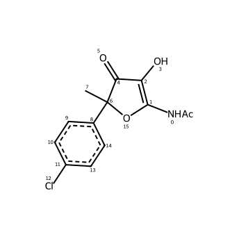 CC(=O)NC1=C(O)C(=O)C(C)(c2ccc(Cl)cc2)O1